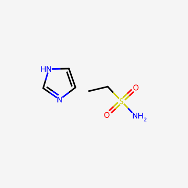 CCS(N)(=O)=O.c1c[nH]cn1